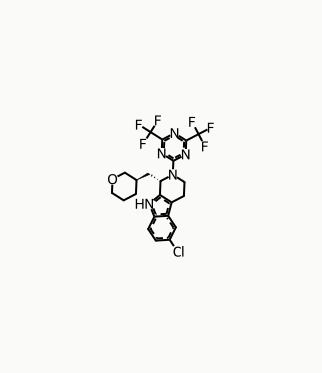 FC(F)(F)c1nc(N2CCc3c([nH]c4ccc(Cl)cc34)[C@@H]2C[C@H]2CCCOC2)nc(C(F)(F)F)n1